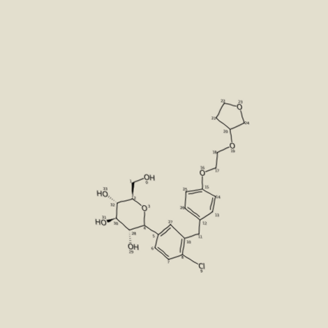 OC[C@H]1OC(c2ccc(Cl)c(Cc3ccc(OCCOC4CCOC4)cc3)c2)[C@H](O)[C@@H](O)[C@@H]1O